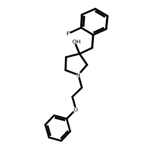 OC1(Cc2ccccc2F)CCN(CCOc2ccccc2)C1